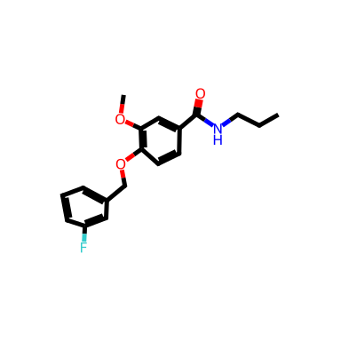 CCCNC(=O)c1ccc(OCc2cccc(F)c2)c(OC)c1